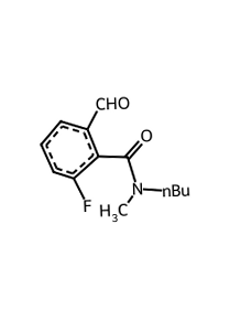 CCCCN(C)C(=O)c1c(F)cccc1C=O